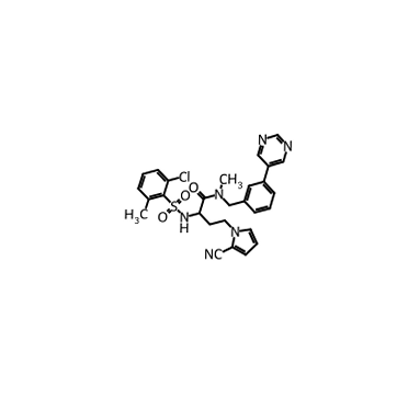 Cc1cccc(Cl)c1S(=O)(=O)NC(CCn1cccc1C#N)C(=O)N(C)Cc1cccc(-c2cncnc2)c1